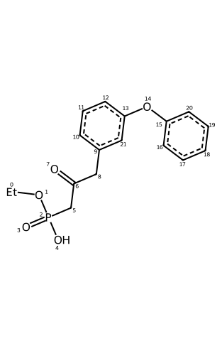 CCOP(=O)(O)CC(=O)Cc1cccc(Oc2ccccc2)c1